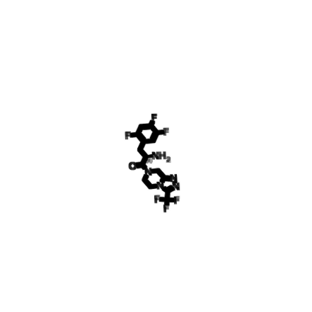 N[C@H](Cc1cc(F)c(F)cc1F)C(=O)N1CCn2c(nnc2C(F)(F)F)C1